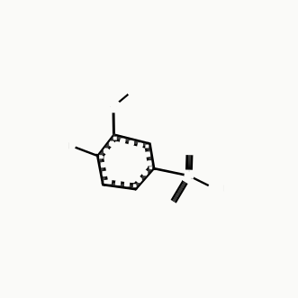 COc1cc(S(C)(=O)=O)ccc1F